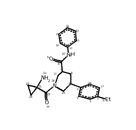 CCc1ccc(C2CC(C(=O)Nc3ccccc3)CN(C(=O)C3(N)CC3)C2)cc1